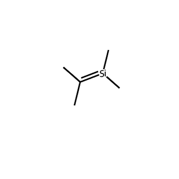 CC(C)=[Si](C)C